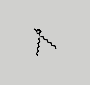 CCCCCCCCN(CCCCCCCC)c1ccc(C)s1